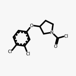 O=C(Cl)N1CCC(Oc2ccc(Cl)c(Cl)c2)C1